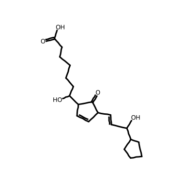 O=C(O)CCCCCC(O)C1C=CC(C=CC(O)C2CCCC2)C1=O